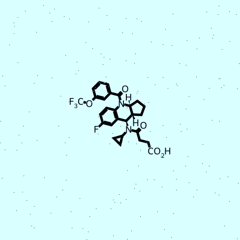 O=C(O)CCC(=O)N(C1CC1)[C@H]1c2cc(F)ccc2N(C(=O)c2cccc(OC(F)(F)F)c2)[C@H]2CCC[C@@H]21